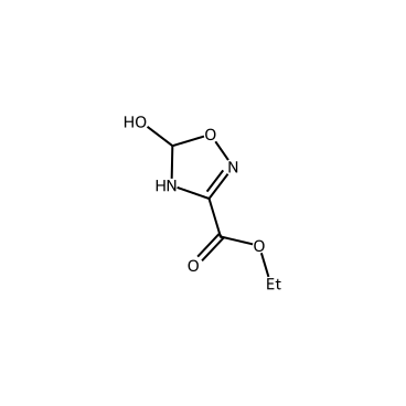 CCOC(=O)C1=NOC(O)N1